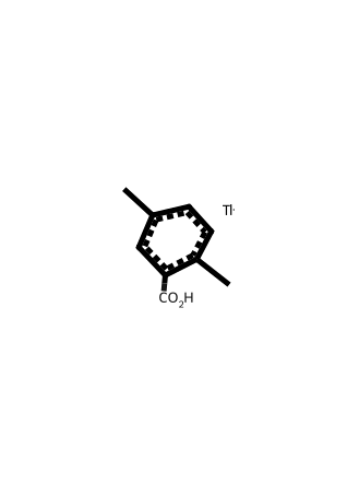 Cc1ccc(C)c(C(=O)O)c1.[Tl]